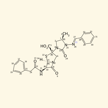 C[C@@H]1CN([C@]2(C(=O)O)CN3C(=O)[C@@H](NC(=O)Cc4ccccc4)[C@H]3S2)C(=O)N1/N=C/c1ccccc1